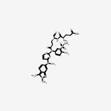 Cc1ccc(N(C(=O)CC[C@@H](C=O)NC(=O)[C@@H](N)CCC(=O)O)c2nccc(N(C)c3ccc4c(C)n(C)nc4c3)n2)cc1S(N)(=O)=O